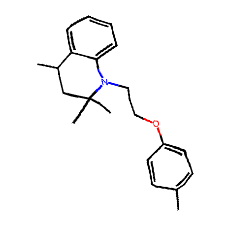 Cc1ccc(OCCN2c3ccccc3C(C)CC2(C)C)cc1